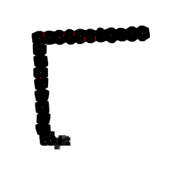 C1CCCCC1.C1CCCCC1.C1CCCCC1.C1CCCCC1.C1CCCCC1.C1CCCCC1.C1CCCCC1.C1CCCCC1.C1CCCCC1.C1CCCCC1.C1CCCCC1.C1CCCCC1.C1CCCCC1.C1CCCCC1.C1CCCCC1.C1CCCCC1.C1CCCCC1.C1CCCCC1.C1CCCCC1.CCOC(C)=O